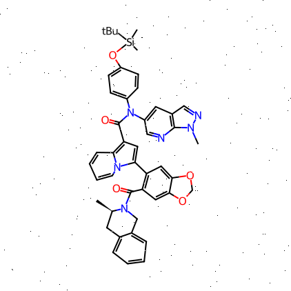 C[C@@H]1Cc2ccccc2CN1C(=O)c1cc2c(cc1-c1cc(C(=O)N(c3ccc(O[Si](C)(C)C(C)(C)C)cc3)c3cnc4c(cnn4C)c3)c3ccccn13)OCO2